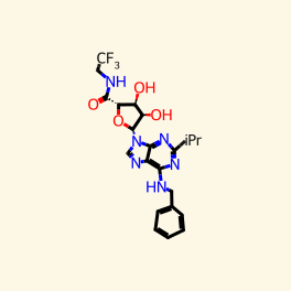 CC(C)c1nc(NCc2ccccc2)c2ncn([C@@H]3O[C@H](C(=O)NCC(F)(F)F)[C@@H](O)[C@H]3O)c2n1